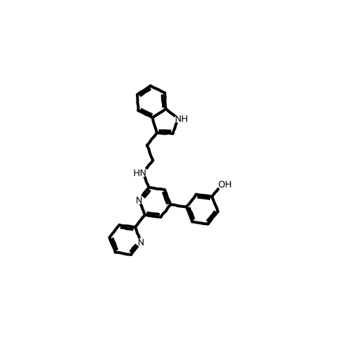 Oc1cccc(-c2cc(NCCc3c[nH]c4ccccc34)nc(-c3ccccn3)c2)c1